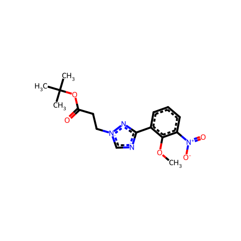 COc1c(-c2ncn(CCC(=O)OC(C)(C)C)n2)cccc1[N+](=O)[O-]